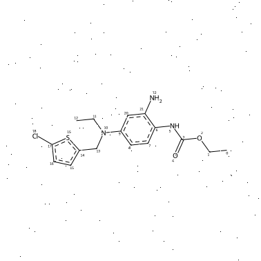 CCOC(=O)Nc1ccc(N(CC)Cc2ccc(Cl)s2)cc1N